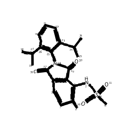 Cc1ccc2c(c1NS(C)(=O)=O)C(=O)N(c1c(C(C)C)cccc1C(C)C)C2=O